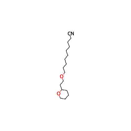 N#CCCCCCCCCCOCCC1CCCCO1